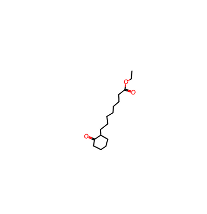 CCOC(=O)CCCCCCCC1CCCCC1=O